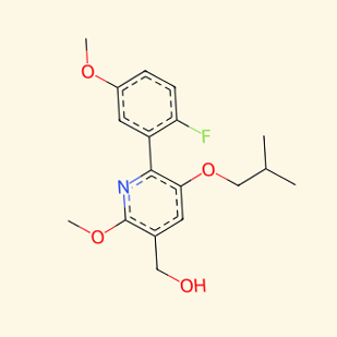 COc1ccc(F)c(-c2nc(OC)c(CO)cc2OCC(C)C)c1